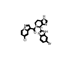 O=C(c1cnn2ccc(Cl)cc12)N1CCc2[nH]cnc2[C@H]1c1nc2ccc(Br)cc2[nH]1